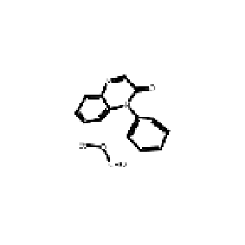 CCOC=O.O=c1cnc2ccccc2n1-c1ccccc1